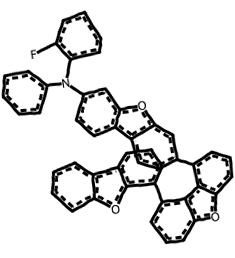 Fc1ccccc1N(c1ccccc1)c1ccc2c(c1)oc1cc(-c3cccc4oc5cccc(-c6cccc7c6oc6ccccc67)c5c34)ccc12